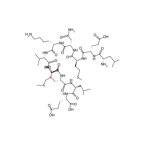 CSCC[C@H](NC(=O)[C@H](CCC(=O)O)NC(=O)[C@@H](N)CC(C)C)C(=O)N[C@@H](CC(N)=O)C(=O)N[C@@H](CCCCN)C(=O)N[C@H](C(=O)N[C@@H](CCSC)C(=O)N[C@@H](CCC(=O)O)C(=O)N[C@@H](CC(C)C)C(=O)N[C@@H](CCC(=O)O)C(=O)O)C(C)C